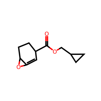 O=C(OCC1CC1)C1C=C2OC2CC1